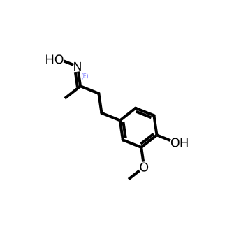 COc1cc(CC/C(C)=N/O)ccc1O